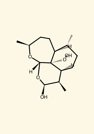 C[C@H]1[C@@H](O)O[C@@H]2O[C@@H](C)CC[C@H]3[C@H](C)CC[C@@H]1[C@@]23OO